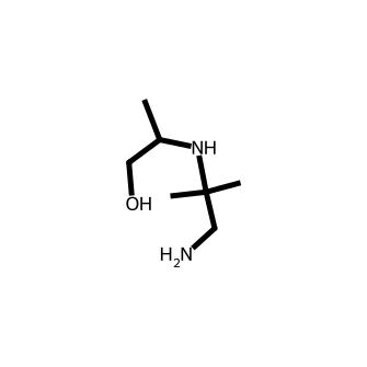 CC(CO)NC(C)(C)CN